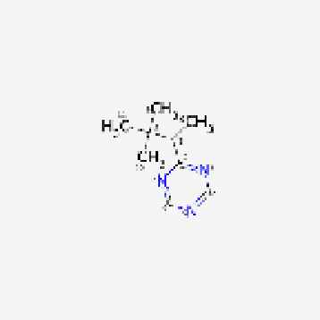 CC(c1ncncn1)C(C)(C)C